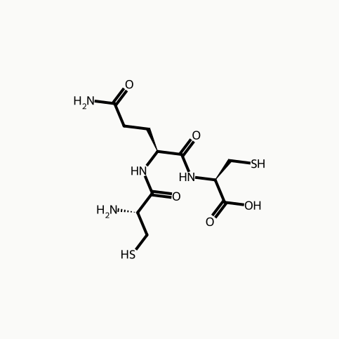 NC(=O)CC[C@H](NC(=O)[C@@H](N)CS)C(=O)N[C@@H](CS)C(=O)O